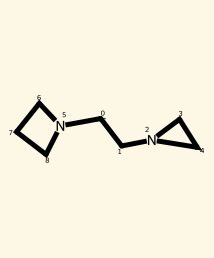 [CH](CN1CC1)N1CCC1